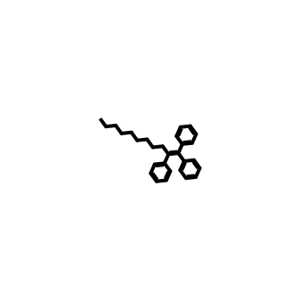 CCCCCCCCCC(=C(c1ccccc1)c1ccccc1)c1ccccc1